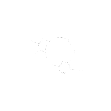 COc1ccc2cc1OC/C=C/COc1cc(c(N)c(N)n1)NC2